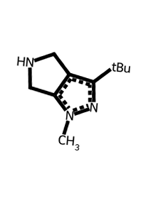 Cn1nc(C(C)(C)C)c2c1CNC2